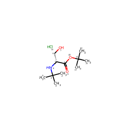 CC(C)(C)N[C@H](CO)C(=O)OC(C)(C)C.Cl